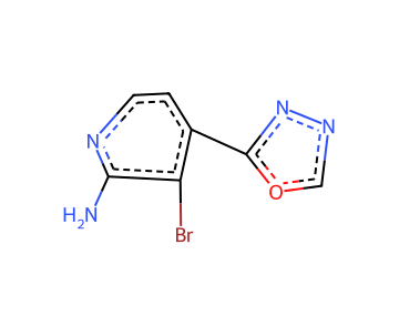 Nc1nccc(-c2nnco2)c1Br